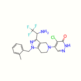 Cc1ccccc1Cn1nc(C(N)C(F)(F)F)c2c1CCN(c1cn[nH]c(=O)c1Cl)C2